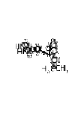 CN(C)c1ccc([C@@H]2CCC3(CCOCC3)C(=O)N2CC#Cc2ccc3c(c2)C[C@@]2(C3)C(=O)NC3=C2C=CCN3)cc1